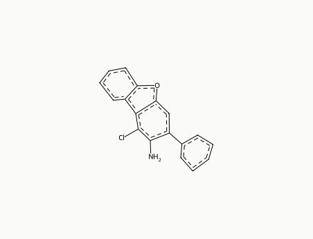 Nc1c(-c2ccccc2)cc2oc3ccccc3c2c1Cl